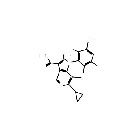 COc1cc(F)c(C)c(-n2c(N)c(C(N)=O)c3cnc(C4CC4)c(Br)c32)c1C